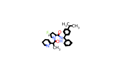 CC(C(=O)N1C[C@H](F)C[C@H]1C(=O)N[C@@H](c1ccccc1)c1ccc(C(C)C)cc1)C1=CCCC=N1